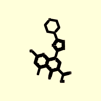 Cc1cc(Cl)nc2c1c(=O)c(C(=O)O)cn2-c1nc(N2CCOCC2)ns1